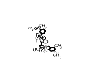 Cc1cc(C)c(Cn2nc(C(C)(C)C)cc2C(=O)NS(=O)(=O)c2cccc(N(C)C)c2)c(C)c1